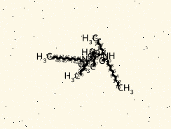 CCCCCCCCCCCC(=O)NC(CCCCCC)COP(=O)(CCCC)OCC(CCCCCC)NC(=O)CCCCCCCCCCC